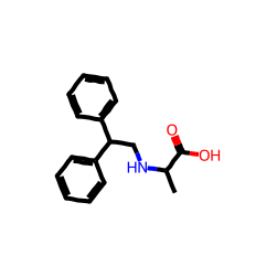 CC(NCC(c1ccccc1)c1ccccc1)C(=O)O